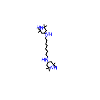 CC1(C)CC(NCCCCCCCCNC2CC(C)(C)NC(C)(C)C2)CC(C)(C)N1